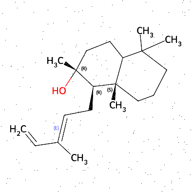 C=C/C(C)=C/C[C@@H]1[C@@]2(C)CCCC(C)(C)C2CC[C@@]1(C)O